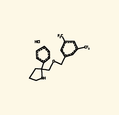 Cl.FC(F)(F)c1cc(COCC2(c3ccccc3)CCCN2)cc(C(F)(F)F)c1